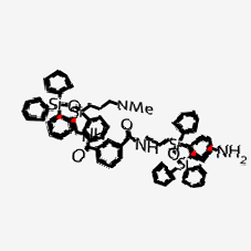 CNCCC[Si](O[Si](CCCNC(=O)c1cccc(C(=O)NCCC[Si](O[Si](CCCN)(c2ccccc2)c2ccccc2)(c2ccccc2)c2ccccc2)c1)(c1ccccc1)c1ccccc1)(c1ccccc1)c1ccccc1